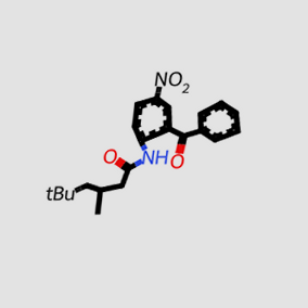 CC(CC(=O)Nc1ccc([N+](=O)[O-])cc1C(=O)c1ccccc1)CC(C)(C)C